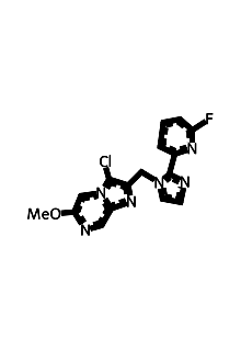 COc1cn2c(Cl)c(Cn3ccnc3-c3cccc(F)n3)nc2cn1